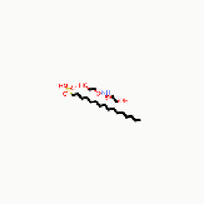 CCCCCCCCCCCCCCCCS(=O)(=O)O.OCCONOCCO